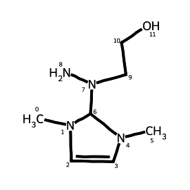 CN1C=CN(C)C1N(N)CCO